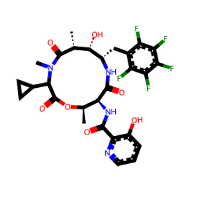 C[C@H]1OC(=O)C(C2CC2)N(C)C(=O)[C@H](C)[C@H](O)[C@H](Cc2c(F)c(F)c(F)c(F)c2F)NC(=O)[C@H]1NC(=O)c1ncccc1O